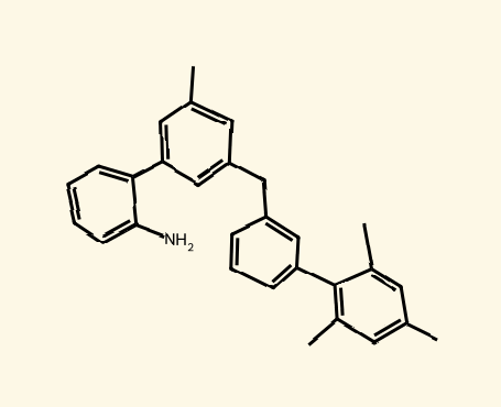 Cc1cc(Cc2cccc(-c3c(C)cc(C)cc3C)c2)cc(-c2ccccc2N)c1